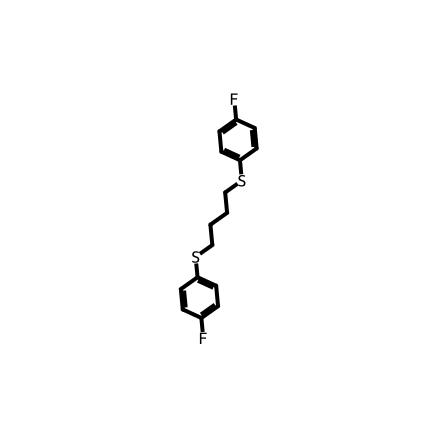 Fc1ccc(SCCCCSc2ccc(F)cc2)cc1